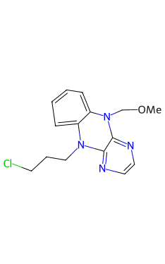 COCN1c2ccccc2N(CCCCl)c2nccnc21